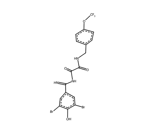 N=C(NC(=O)C(=O)NCc1ccc(OC(F)(F)F)cc1)c1cc(Br)c(O)c(Br)c1